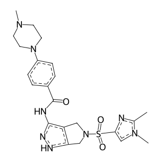 Cc1nc(S(=O)(=O)N2Cc3[nH]nc(NC(=O)c4ccc(N5CCN(C)CC5)cc4)c3C2)cn1C